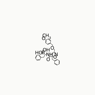 COc1ccc(COCC2=NOC(Cc3ccccc3)(C(=O)NC(Cc3ccccc3)B(O)O)C2)cc1